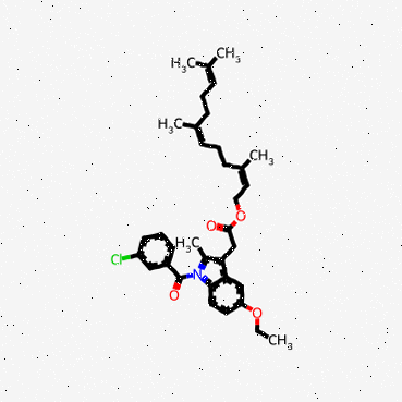 CCOc1ccc2c(c1)c(CC(=O)OCC=C(C)CCC=C(C)CCC=C(C)C)c(C)n2C(=O)c1cccc(Cl)c1